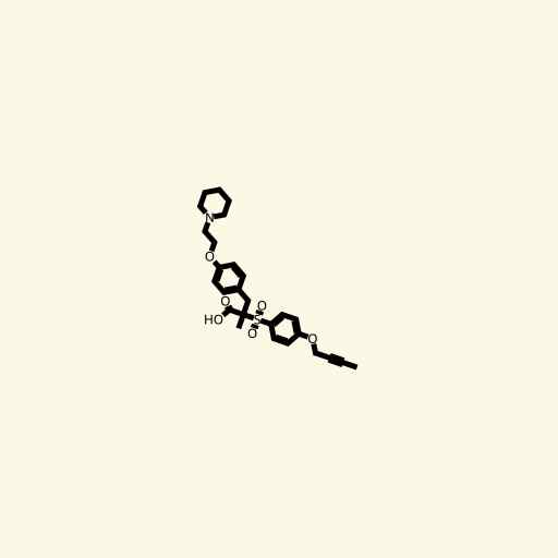 CC#CCOc1ccc(S(=O)(=O)C(C)(Cc2ccc(OCCN3CCCCC3)cc2)C(=O)O)cc1